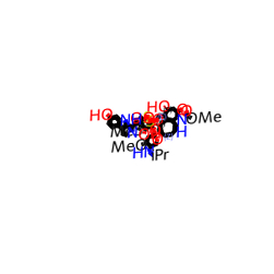 COC(=O)NC1C(=O)C[C@H](O)/C(=C/CS(C)=S)C2=C1C#C/C=C\C#C[C@@H]2OC1OC(C)C(SC)(C(=O)c2nccc3c2[nH]c2cc(O)ccc23)C(O)C1OC1CC(OC)C(NC(C)C)CO1